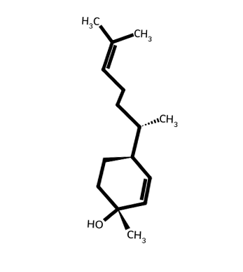 CC(C)=CCC[C@H](C)[C@H]1C=C[C@](C)(O)CC1